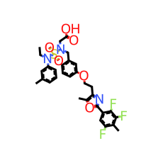 CCN(c1cccc(C)c1)S(=O)(=O)N(CC(=O)O)Cc1cccc(OCCc2nc(-c3cc(F)c(C)c(F)c3F)oc2C)c1